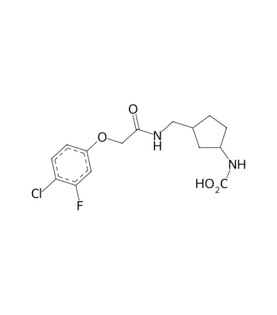 O=C(O)NC1CCC(CNC(=O)COc2ccc(Cl)c(F)c2)C1